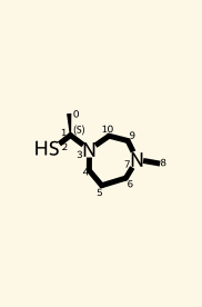 C[C@H](S)N1CCCN(C)CC1